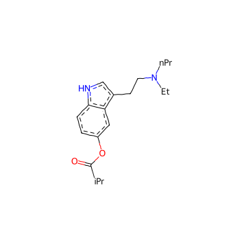 CCCN(CC)CCc1c[nH]c2ccc(OC(=O)C(C)C)cc12